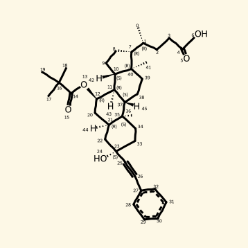 C[C@H](CCC(=O)O)[C@H]1CC[C@H]2[C@@H]3[C@H](OC(=O)C(C)(C)C)C[C@@H]4C[C@](O)(C#Cc5ccccc5)CC[C@]4(C)[C@H]3CC[C@]12C